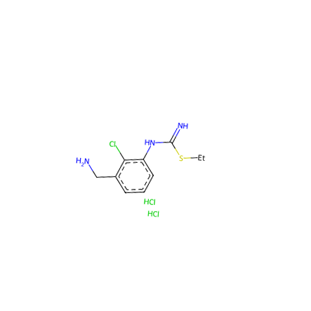 CCSC(=N)Nc1cccc(CN)c1Cl.Cl.Cl